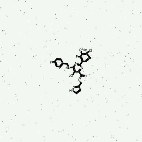 COc1c(Cl)ccc(-c2nc(NCc3ccc(F)cc3)c(Cl)c(C(=O)OCc3cc[nH]n3)n2)c1F